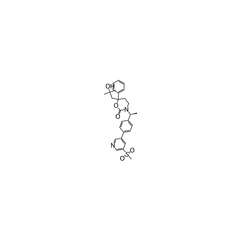 C[C@@H](c1ccc(-c2cncc(S(C)(=O)=O)c2)cc1)N1CCC(CC(C)(C)O)(c2ccccc2)OC1=O